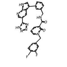 O=C(NCc1cccc(-c2c[nH]c3ncc(-c4nnn[nH]4)cc23)c1)c1cccn(Cc2ccc(F)c(F)c2)c1=O